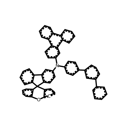 c1ccc(-c2cccc(-c3ccc(N(c4ccc5c(c4)-c4ccccc4C54c5ccccc5Oc5ccccc54)c4ccc5c6ccccc6c6ccccc6c5c4)cc3)c2)cc1